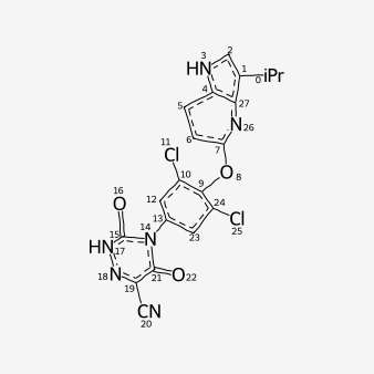 CC(C)c1c[nH]c2ccc(Oc3c(Cl)cc(-n4c(=O)[nH]nc(C#N)c4=O)cc3Cl)nc12